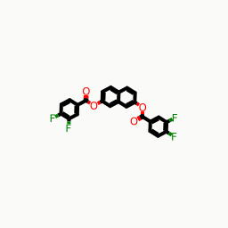 O=C(Oc1ccc2ccc(OC(=O)c3ccc(F)c(F)c3)cc2c1)c1ccc(F)c(F)c1